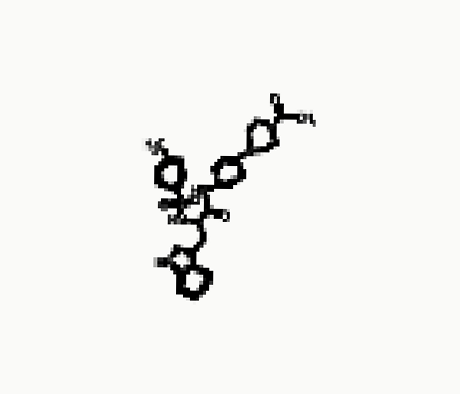 CC(=O)N1CCN(c2ccc(NC(=O)C(Cc3c[nH]c4ccccc34)NS(=O)(=O)c3ccc(C)cc3)cc2)CC1